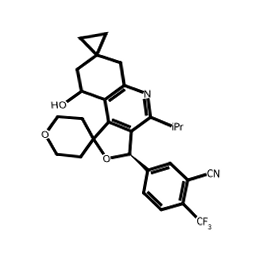 CC(C)c1nc2c(c3c1[C@@H](c1ccc(C(F)(F)F)c(C#N)c1)OC31CCOCC1)C(O)CC1(CC1)C2